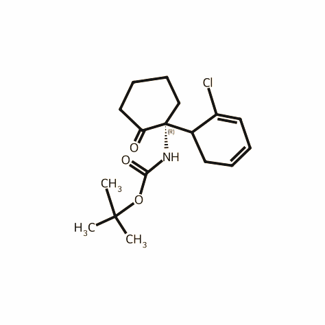 CC(C)(C)OC(=O)N[C@@]1(C2CC=CC=C2Cl)CCCCC1=O